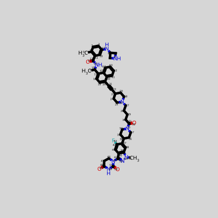 Cc1ccc(NC2CNC2)cc1C(=O)NC(C)c1ccc(C#CC2CCN(CCCCC(=O)N3CCC(c4cc5c(cc4F)c(N4CCC(=O)NC4=O)nn5C)CC3)CC2)c2ccccc12